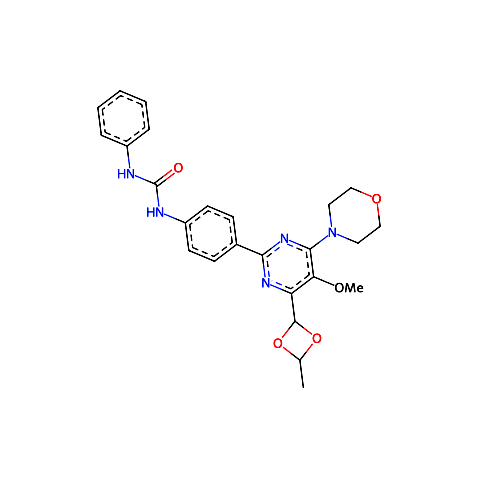 COc1c(C2OC(C)O2)nc(-c2ccc(NC(=O)Nc3ccccc3)cc2)nc1N1CCOCC1